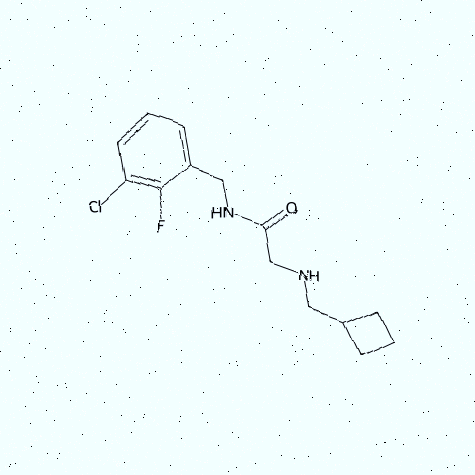 O=C(CNCC1CCC1)NCc1cccc(Cl)c1F